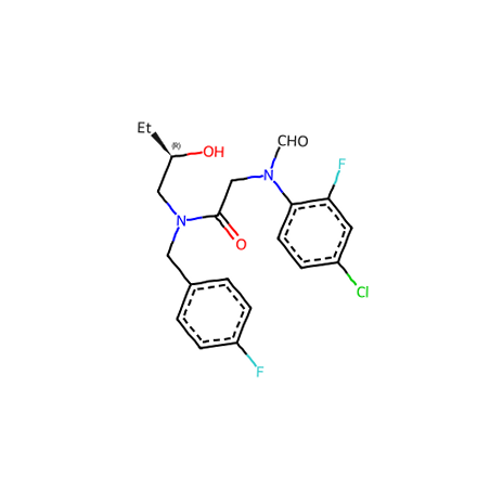 CC[C@@H](O)CN(Cc1ccc(F)cc1)C(=O)CN(C=O)c1ccc(Cl)cc1F